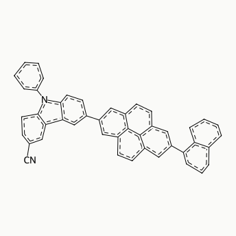 N#Cc1ccc2c(c1)c1cc(-c3cc4ccc5cc(-c6cccc7ccccc67)cc6ccc(c3)c4c56)ccc1n2-c1ccccc1